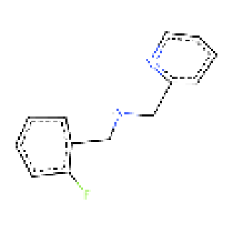 Fc1ccccc1C[N]Cc1ccccn1